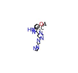 CC1(Oc2ccc3[nH]nc(-c4cc(N5CC(n6cccn6)C5)ncn4)c3c2)CC1